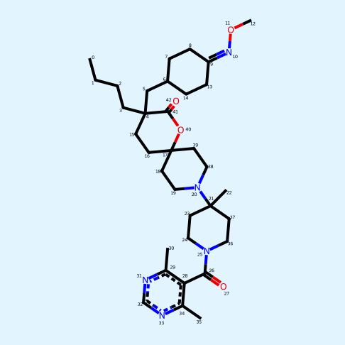 CCCCC1(CC2CCC(=NOC)CC2)CCC2(CCN(C3(C)CCN(C(=O)c4c(C)ncnc4C)CC3)CC2)OC1=O